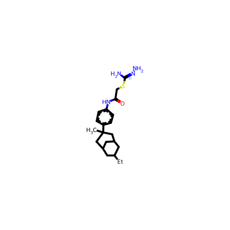 CCC1CC2CC(C1)CC(C)(c1ccc(NC(=O)CS/C(N)=N/N)cc1)C2